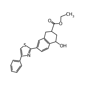 CCOC(=O)C1Cc2cc(-c3nc(-c4ccccc4)cs3)ccc2C(O)C1